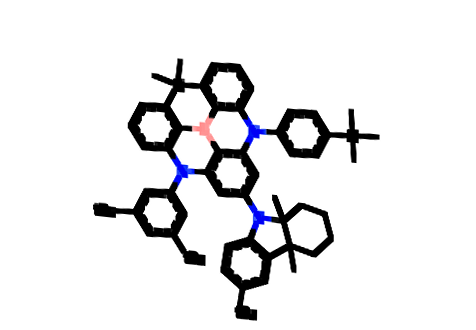 CC(C)(C)c1cc(N2c3cc(N4c5ccc(C(C)(C)C)cc5C5(C)CCCCC45C)cc4c3B3c5c(cccc5[Si](C)(C)c5cccc2c53)N4c2ccc([Si](C)(C)C)cc2)cc(C(C)(C)C)c1